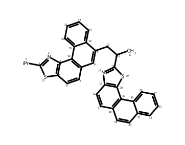 CC(C)c1nc2c(ccc3cc(CC(C)c4nc5ccc6ccc7ccccc7c6c5s4)c4ccccc4c32)s1